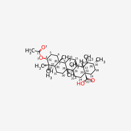 CC(=O)O[C@H]1CC[C@]2(C)C3CC=C4[C@@H]5[C@@H](C)[C@H](C)CC[C@]5(C(=O)O)CC[C@@]4(C)[C@]3(C)CC[C@H]2C1(C)C